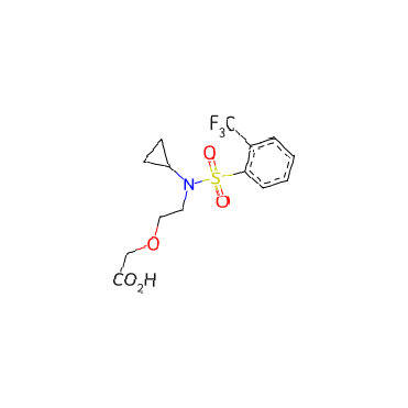 O=C(O)COCCN(C1CC1)S(=O)(=O)c1ccccc1C(F)(F)F